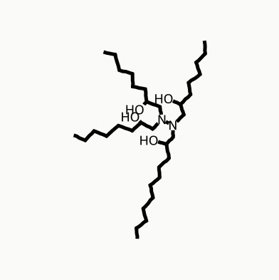 CCCCCCCCCC(O)CN(CC(O)CCCCCC)N(CC(O)CCCCCC)CC(O)CCCCCC